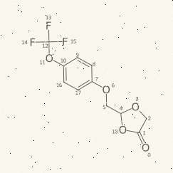 O=C1COC(COc2ccc(OC(F)(F)F)cc2)O1